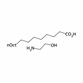 CCCCCCCCCCCCCCCC(=O)O.NCCO